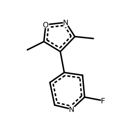 Cc1noc(C)c1-c1ccnc(F)c1